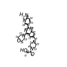 C[C@H](O)C(=O)N1CCN(Cc2cc3c(N4CCOCC4)nc(-c4ccc(N)nc4)nc3s2)CC1